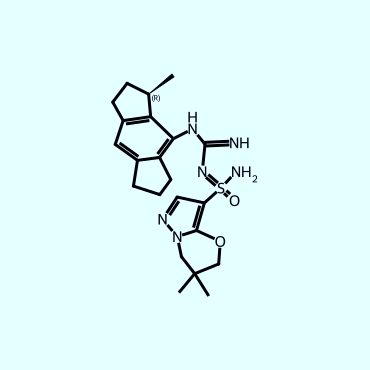 C[C@@H]1CCc2cc3c(c(NC(=N)N=S(N)(=O)c4cnn5c4OCC(C)(C)C5)c21)CCC3